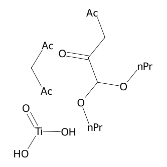 CC(=O)CC(C)=O.CCCOC(OCCC)C(=O)CC(C)=O.[O]=[Ti]([OH])[OH]